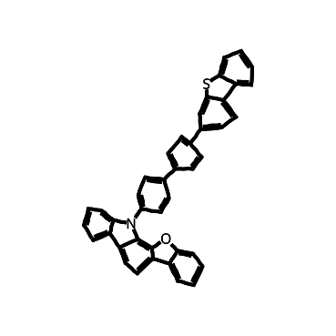 c1ccc2c(c1)oc1c2ccc2c3ccccc3n(-c3ccc(-c4ccc(-c5ccc6c(c5)sc5ccccc56)cc4)cc3)c21